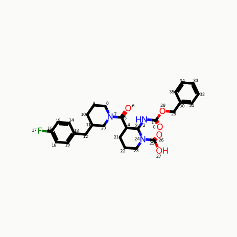 O=C(NC1C(C(=O)N2CCCC(Cc3ccc(F)cc3)C2)CCCN1C(=O)O)OCc1ccccc1